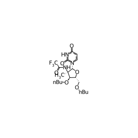 CCCCOC[C@H]1O[C@@H](n2ccc(=O)[nH]c2=O)[C@](C)(NC(=O)C(F)(F)F)[C@@H]1OCCCC